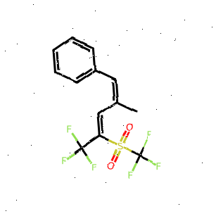 CC(=Cc1ccccc1)/C=C(/C(F)(F)F)S(=O)(=O)C(F)(F)F